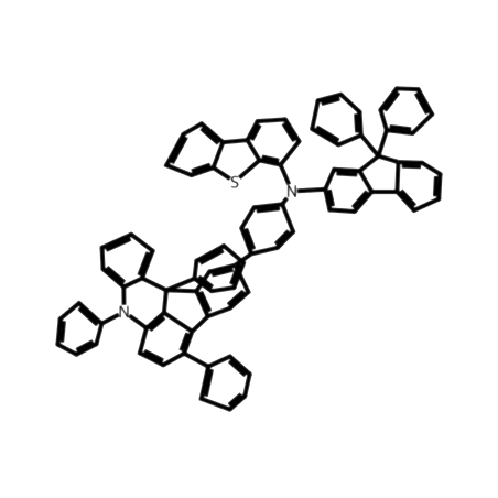 c1ccc(-c2ccc3c4c2-c2ccc(-c5ccc(N(c6ccc7c(c6)C(c6ccccc6)(c6ccccc6)c6ccccc6-7)c6cccc7c6sc6ccccc67)cc5)cc2C4(c2ccccc2)c2ccccc2N3c2ccccc2)cc1